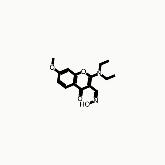 CCN(CC)c1oc2cc(OC)ccc2c(=O)c1/C=N\O